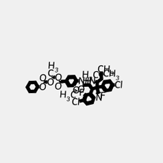 COc1cc(C(=O)OC(C)OC(=O)OC2CCCCC2)ccc1NC(=O)C1NC(CC(C)(C)C)C(C#N)(c2ccc(Cl)cc2F)C1c1cccc(Cl)c1F